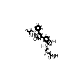 CNC(=O)CN(C)CCNc1n[nH]c2ccc(-c3cc(-c4ccccc4OCC(C)C)[nH]c(=O)n3)cc12